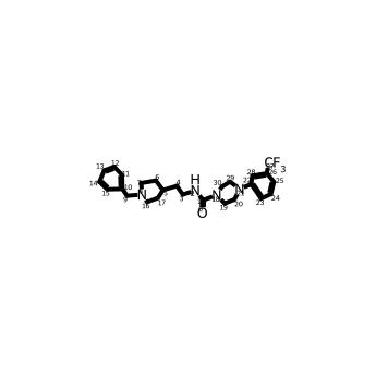 O=C(NCCC1CCN(Cc2ccccc2)CC1)N1CCN(c2cccc(C(F)(F)F)c2)CC1